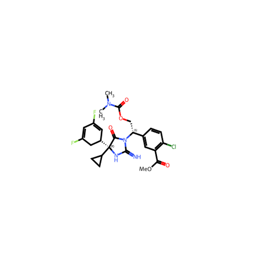 COC(=O)c1cc([C@@H](COC(=O)N(C)C)N2C(=N)N[C@@](C3C=C(F)C=C(F)C3)(C3CC3)C2=O)ccc1Cl